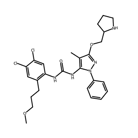 COCCCc1cc(Cl)c(Cl)cc1NC(=O)Nc1c(C)c(OCC2CCCN2)nn1-c1ccccc1